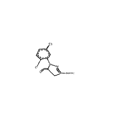 CC(=O)NC1=NN(c2cc(Cl)ccc2Cl)C(=O)C1